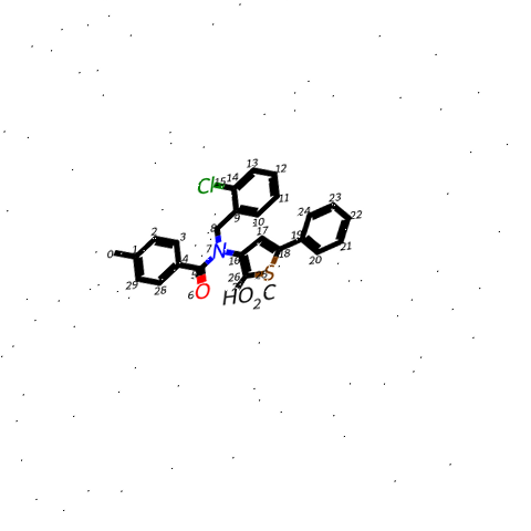 Cc1ccc(C(=O)N(Cc2ccccc2Cl)c2cc(-c3ccccc3)sc2C(=O)O)cc1